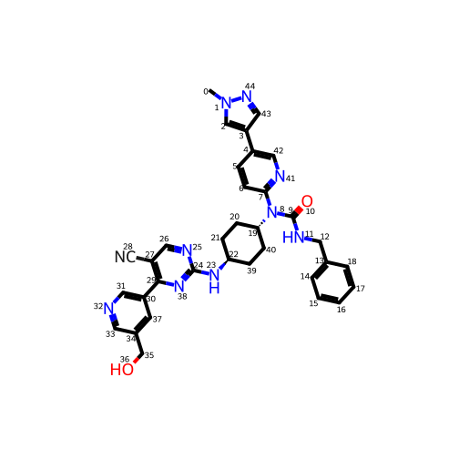 Cn1cc(-c2ccc(N(C(=O)NCc3ccccc3)[C@H]3CC[C@H](Nc4ncc(C#N)c(-c5cncc(CO)c5)n4)CC3)nc2)cn1